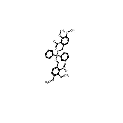 COc1ccc(CO[Si](OCc2ccc(OC)c(OC)c2[N+](=O)[O-])(c2ccccc2)c2ccccc2)c([N+](=O)[O-])c1OC